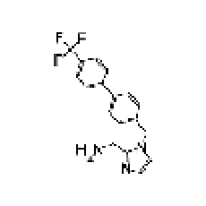 NCc1nccn1Cc1ccc(-c2ccc(C(F)(F)F)cc2)cc1